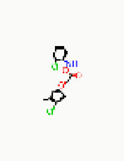 Cc1cc(OCC(=O)ONc2ccccc2Cl)ccc1Cl